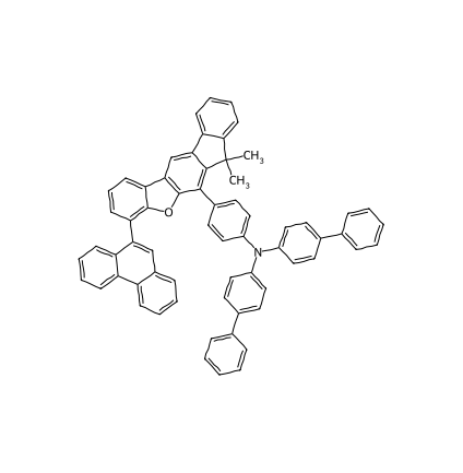 CC1(C)c2ccccc2-c2cc3c(oc4c(-c5cc6ccccc6c6ccccc56)cccc43)c(-c3ccc(N(c4ccc(-c5ccccc5)cc4)c4ccc(-c5ccccc5)cc4)cc3)c21